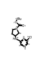 CC(C)(C)OC(=O)N1CCC(Nc2cncc(Cl)n2)C1